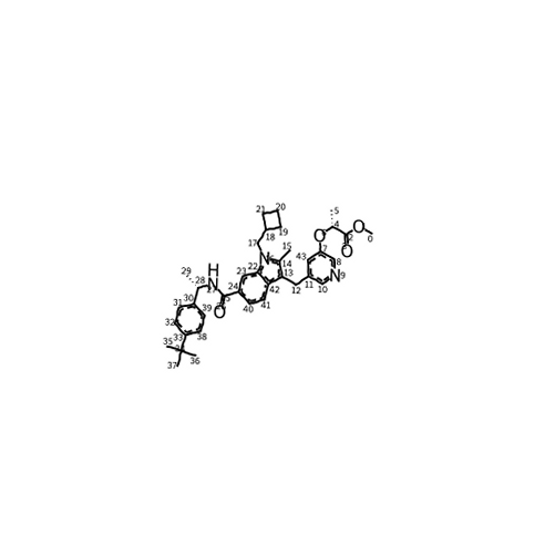 COC(=O)[C@@H](C)Oc1cncc(Cc2c(C)n(CC3CCC3)c3cc(C(=O)N[C@@H](C)c4ccc(C(C)(C)C)cc4)ccc23)c1